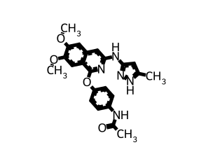 COc1cc2cc(Nc3cc(C)[nH]n3)nc(Oc3ccc(NC(C)=O)cc3)c2cc1OC